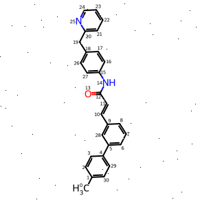 Cc1ccc(-c2cccc(C=CC(=O)Nc3ccc(Cc4ccccn4)cc3)c2)cc1